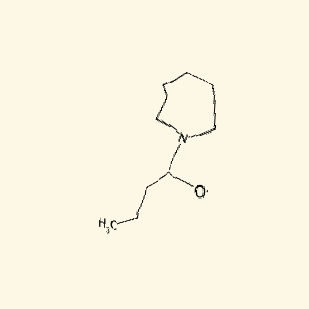 CCCC([O])N1CCCCC1